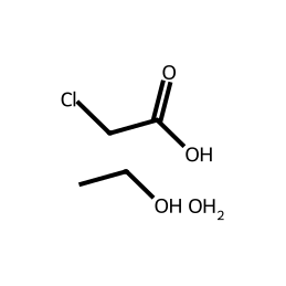 CCO.O.O=C(O)CCl